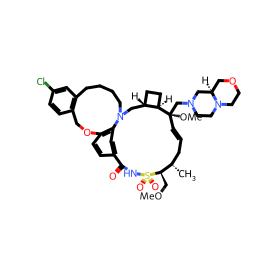 COC[C@@H]1[C@@H](C)C/C=C/[C@](CN2CCN3CCOC[C@@H]3C2)(OC)[C@@H]2CC[C@H]2CN2CCCCc3cc(Cl)ccc3COc3ccc(cc32)C(=O)NS1(=O)=O